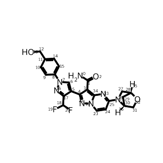 NC(=O)c1c(-c2cn(-c3ccc(CO)cc3)nc2C(F)F)nn2ccc(N3C[C@H]4C[C@@H]3CO4)nc12